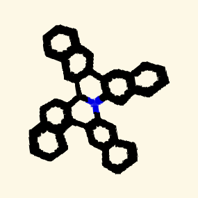 c1ccc2cc3c(cc2c1)B1c2ccc4ccccc4c2-c2cc4ccccc4cc2N1c1cc2ccccc2cc1-3